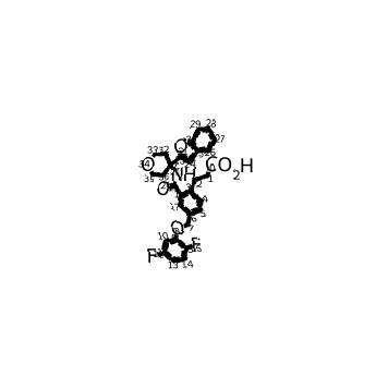 O=C(O)CCc1ccc(COc2cc(F)ccc2F)cc1C(=O)NC1(c2cc3ccccc3o2)CCOCC1